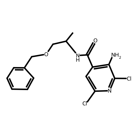 CC(COCc1ccccc1)NC(=O)c1cc(Cl)nc(Cl)c1N